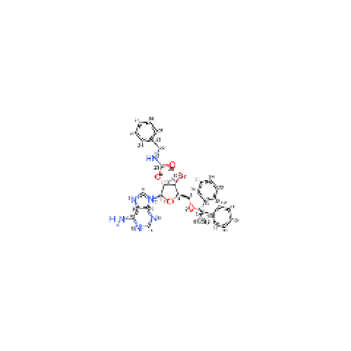 CC(C)(C)[Si](OC[C@H]1O[C@@H](n2cnc3c(N)ncnc32)[C@H](OC(=O)NCc2ccccc2)[C@H]1Br)(c1ccccc1)c1ccccc1